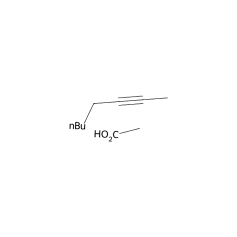 CC#CCCCCC.CC(=O)O